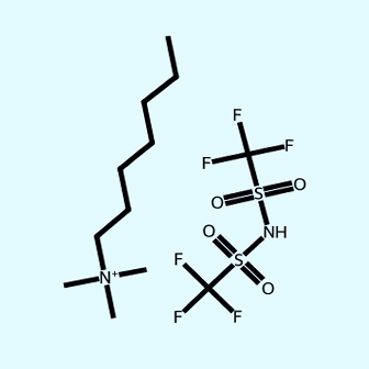 CCCCCCC[N+](C)(C)C.O=S(=O)(NS(=O)(=O)C(F)(F)F)C(F)(F)F